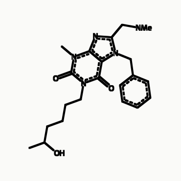 CNCc1nc2c(c(=O)n(CCCCC(C)O)c(=O)n2C)n1Cc1ccccc1